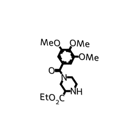 CCOC(=O)C1CN(C(=O)c2cc(OC)c(OC)c(OC)c2)CCN1